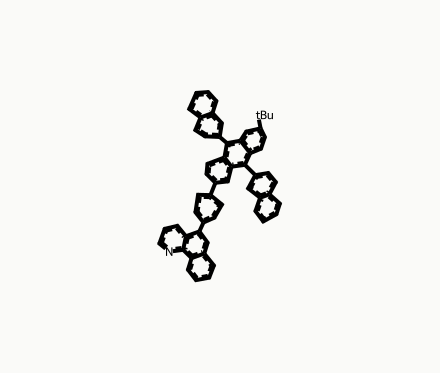 CC(C)(C)c1ccc2c(-c3ccc4ccccc4c3)c3cc(-c4ccc(-c5cc6ccccc6c6ncccc56)cc4)ccc3c(-c3ccc4ccccc4c3)c2c1